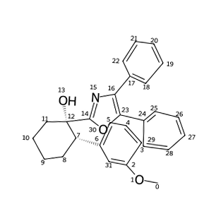 COc1cccc([C@@H]2CCCC[C@@]2(O)c2nc(-c3ccccc3)c(-c3ccccc3)o2)c1